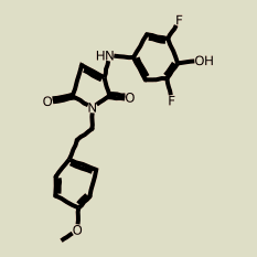 COc1ccc(CCN2C(=O)C=C(Nc3cc(F)c(O)c(F)c3)C2=O)cc1